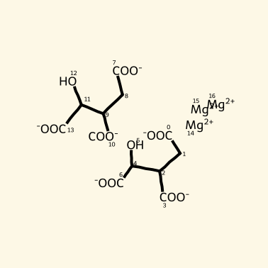 O=C([O-])CC(C(=O)[O-])C(O)C(=O)[O-].O=C([O-])CC(C(=O)[O-])C(O)C(=O)[O-].[Mg+2].[Mg+2].[Mg+2]